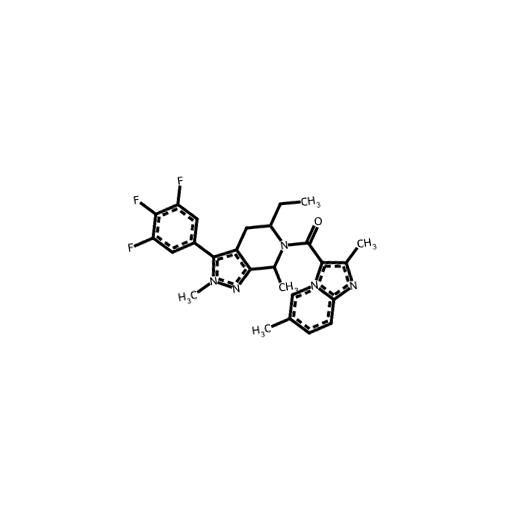 CCC1Cc2c(nn(C)c2-c2cc(F)c(F)c(F)c2)C(C)N1C(=O)c1c(C)nc2ccc(C)cn12